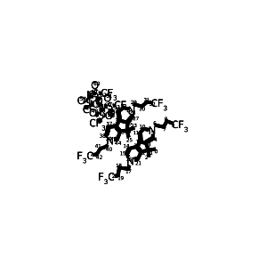 CC1(C)C2=CN(CCCC(F)(F)F)CC=C2c2cc[n+](CCCC(F)(F)F)cc21.CC1(C)C2=CN(CCCC(F)(F)F)CC=C2c2cc[n+](CCCC(F)(F)F)cc21.O=S(=O)([N-]S(=O)(=O)C(F)(F)F)C(F)(F)F.O=S(=O)([N-]S(=O)(=O)C(F)(F)F)C(F)(F)F